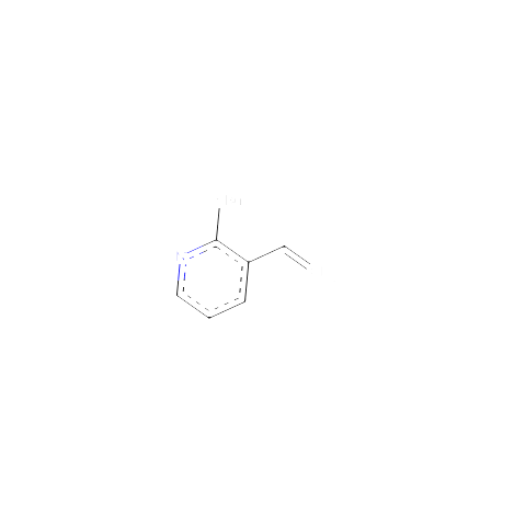 C=Cc1cccnc1CCCC